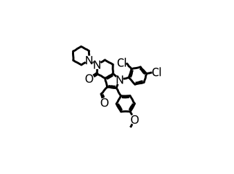 COc1ccc(-c2c(C=O)c3c(n2-c2ccc(Cl)cc2Cl)CCN(N2CCCCC2)C3=O)cc1